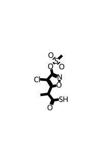 CC(C(=O)S)c1onc(OS(C)(=O)=O)c1Cl